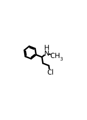 CNC(CCCl)c1ccccc1